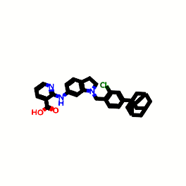 O=C(O)c1cccnc1Nc1ccc2c(c1)N(Cc1ccc(C34CC5CC(CC(C5)C3)C4)cc1Cl)CC2